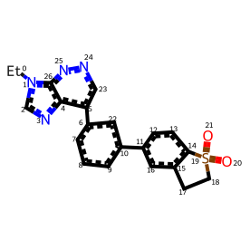 CCn1cnc2c(-c3cccc(-c4ccc5c(c4)CCS5(=O)=O)c3)cnnc21